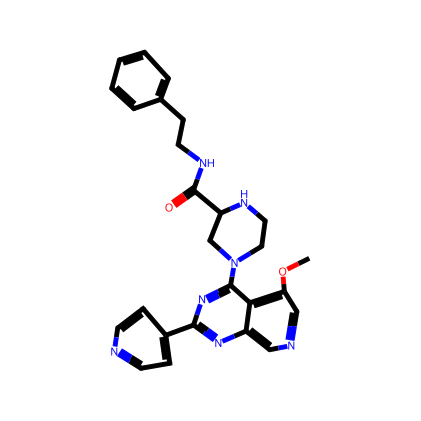 COc1cncc2nc(-c3ccncc3)nc(N3CCNC(C(=O)NCCc4ccccc4)C3)c12